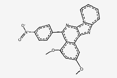 COc1cc(OC)c2c(-c3ccc([N+](=O)[O-])cc3)nc3c(nc4ccccn43)c2c1